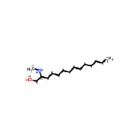 CCCCCCCCCCCCC(CO)NC